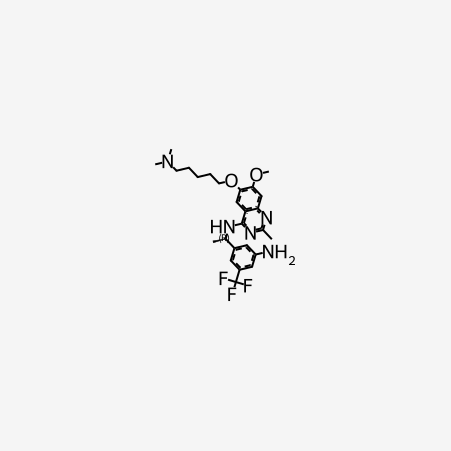 COc1cc2nc(C)nc(N[C@H](C)c3cc(N)cc(C(F)(F)F)c3)c2cc1OCCCCCN(C)C